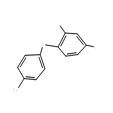 Fc1cc(Br)ccc1Nc1ccc(Br)cc1